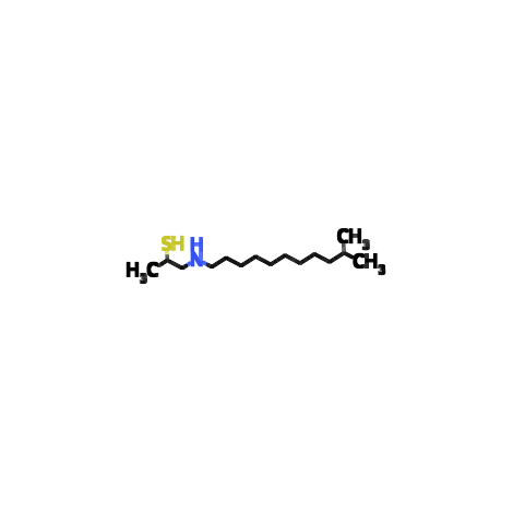 CC(C)CCCCCCCCCNCC(C)S